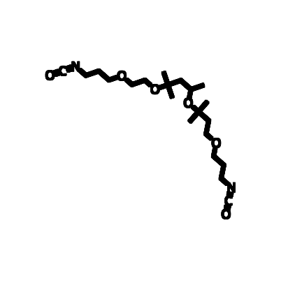 CC(CC(C)(C)OCCOCCCN=C=O)OC(C)(C)CCOCCCN=C=O